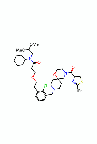 COC(CN(C(=O)CCOCCc1cccc(CN2CCC3(CC2)CN(C(=O)C2CSC(C(C)C)=N2)CCO3)c1Cl)C1CCCCC1)OC